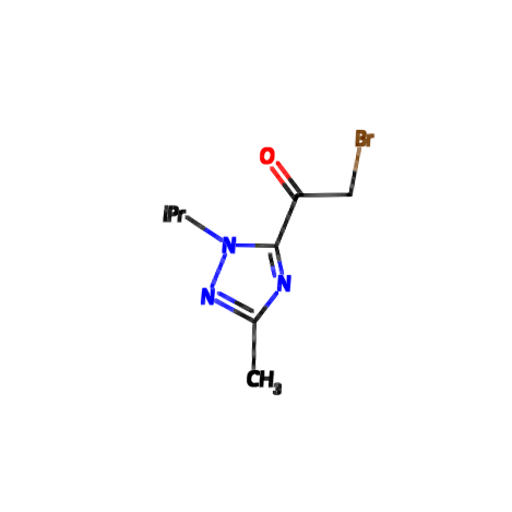 Cc1nc(C(=O)CBr)n(C(C)C)n1